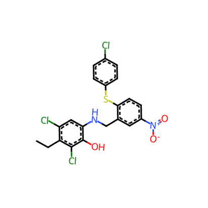 CCc1c(Cl)cc(NCc2cc([N+](=O)[O-])ccc2Sc2ccc(Cl)cc2)c(O)c1Cl